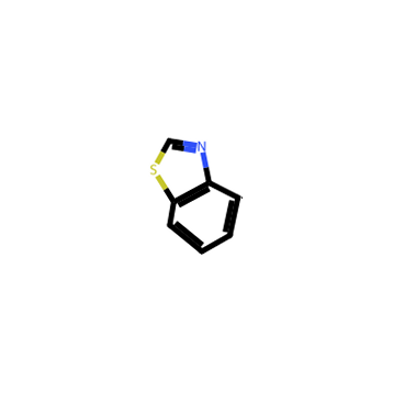 [c]1cccc2scnc12